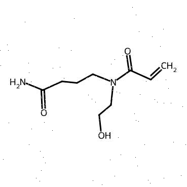 C=CC(=O)N(CCO)CCCC(N)=O